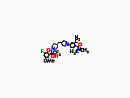 COc1cc(F)cc([C@@](O)(C(=O)N2CCC(CC3CCN(c4ccc(C(=O)N(C)C)c(C)c4)CC3)CC2)C(F)(F)F)c1